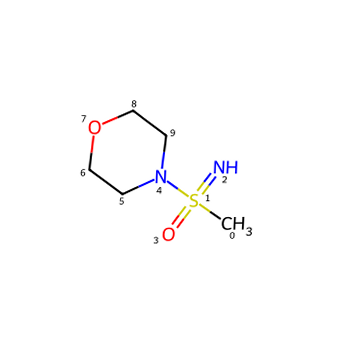 CS(=N)(=O)N1CCOCC1